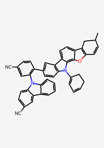 CC1C=Cc2oc3c(ccc4c5cc(-c6ccc(C#N)cc6-n6c7ccccc7c7cc(C#N)ccc76)ccc5n(C5=CC=CCC5)c43)c2C1